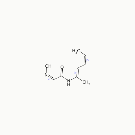 C/C=C\C=C(/C)NC(=O)/C=N\O